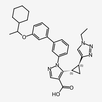 CCn1cc([C@H]2C[C@@H]2c2c(C(=O)O)cnn2-c2cccc(-c3cccc(OC(C)C4CCCCC4)c3)c2)nn1